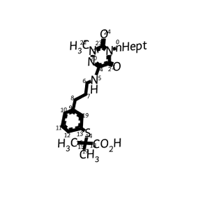 CCCCCCCn1c(=O)c(NCCCc2cccc(SC(C)(C)C(=O)O)c2)nn(C)c1=O